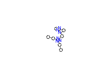 c1ccc(-c2ccc(-c3nc(-c4ccc(-c5ccccc5)cc4)nc(-c4cccc(-c5nc6c(nc7ccccn76)c6ccccc56)c4)n3)cc2)cc1